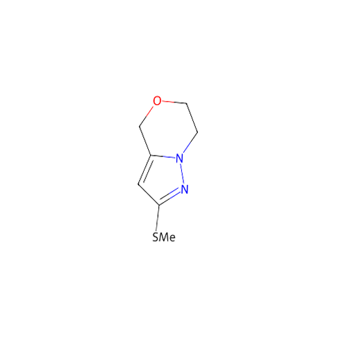 CSc1cc2n(n1)CCOC2